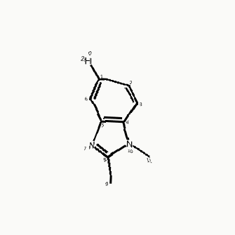 [2H]c1ccc2c(c1)nc(C)n2C